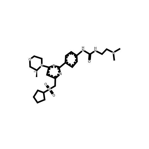 C[C@H]1COCCN1c1cc(CS(=O)(=O)C2CCCC2)nc(-c2ccc(NC(=O)NCCN(C)C)cc2)n1